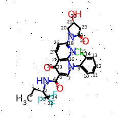 CC[C@@H](NC(=O)c1cn(-c2ccccc2Cl)c2nc(N3C[C@@H](O)CC3=O)ccc2c1=O)C(F)(F)F